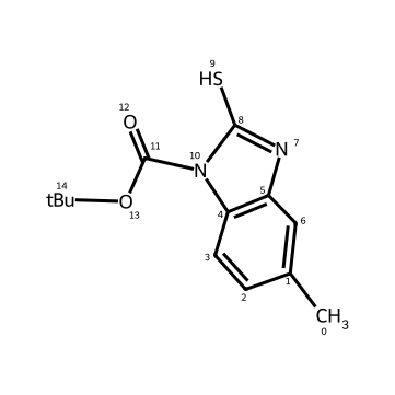 Cc1ccc2c(c1)nc(S)n2C(=O)OC(C)(C)C